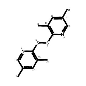 Cc1cnc(SSc2ncc(C)cc2C)c(C)c1